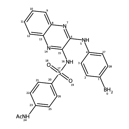 Bc1ccc(Nc2nc3ccccc3nc2NS(=O)(=O)c2ccc(NC(C)=O)cc2)cc1